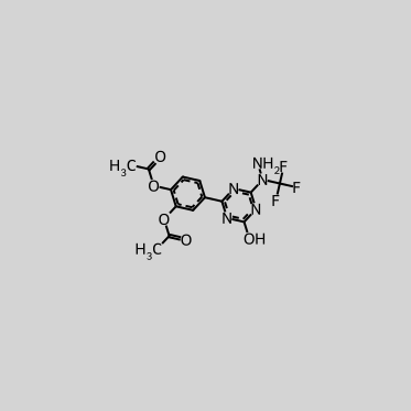 CC(=O)Oc1ccc(-c2nc(O)nc(N(N)C(F)(F)F)n2)cc1OC(C)=O